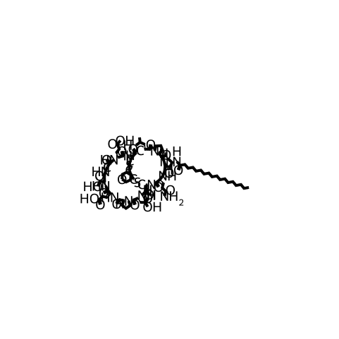 CCCCCCCCCCCCCCCCCC(=O)N[C@H]1C[C@H]2C(=O)N[C@@H](CCC(N)=O)C(=O)N[C@H]3CSCC4(CCOCC4)CSC[C@H](NC(=O)[C@H](CCC(=O)O)NC(=O)CNC(=O)[C@H]([C@@H](C)O)NC(=O)[C@H](CCC(=O)O)NC(=O)[C@@H]4CCCN4C(=O)[C@H](CC(=O)O)NC3=O)C(=O)C[C@@H](CC(C)C)C(=O)N3CCC[C@@H]3C(=O)N2C1